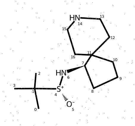 CC(C)(C)[S@@+]([O-])N[C@@H]1CCCC12CCNCC2